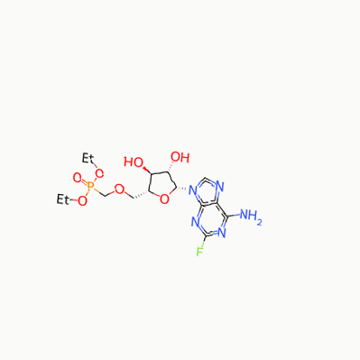 CCOP(=O)(COC[C@H]1O[C@@H](n2cnc3c(N)nc(F)nc32)[C@@H](O)[C@@H]1O)OCC